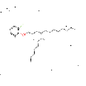 CCCCCCCCC(CCCOc1c(C)cccc1F)C(C)CCCCCC